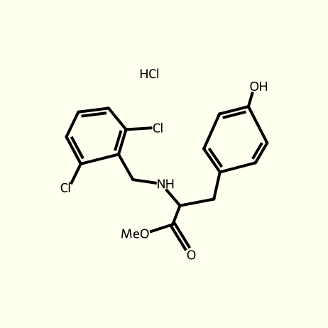 COC(=O)C(Cc1ccc(O)cc1)NCc1c(Cl)cccc1Cl.Cl